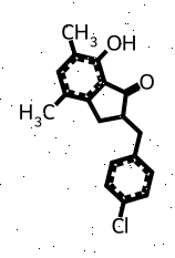 Cc1cc(C)c2c(c1O)C(=O)C(Cc1ccc(Cl)cc1)C2